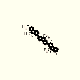 Cc1ccc2c(c1)C(C)(C)c1cc(-c3ccc4c(c3)C(C)(C)c3cc(-c5ccc6c(c5)C(C)(C(F)(F)F)c5ccccc5-6)ccc3-4)ccc1-2